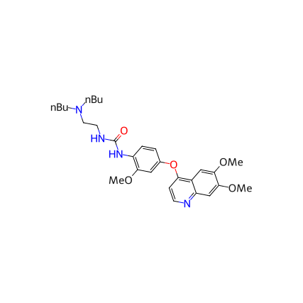 CCCCN(CCCC)CCNC(=O)Nc1ccc(Oc2ccnc3cc(OC)c(OC)cc23)cc1OC